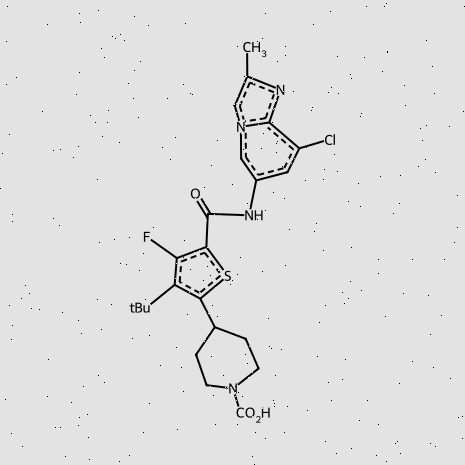 Cc1cn2cc(NC(=O)c3sc(C4CCN(C(=O)O)CC4)c(C(C)(C)C)c3F)cc(Cl)c2n1